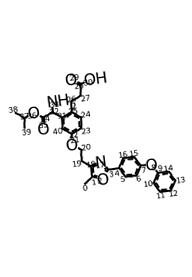 Cc1oc(-c2ccc(Oc3ccccc3)cc2)nc1CCOc1ccc(CCC(=O)O)c(C(N)C(=O)OC(C)C)c1